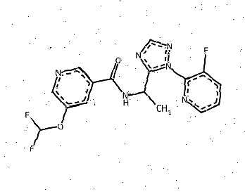 CC(NC(=O)c1cncc(OC(F)F)c1)c1ncnn1-c1ncccc1F